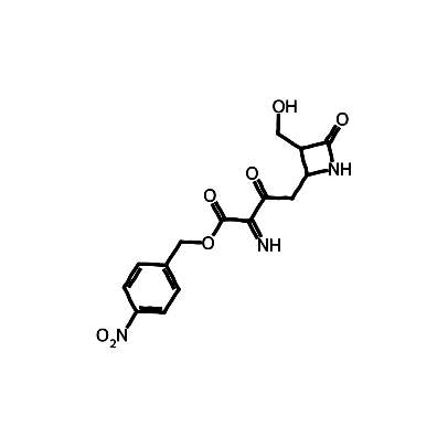 N=C(C(=O)CC1NC(=O)C1CO)C(=O)OCc1ccc([N+](=O)[O-])cc1